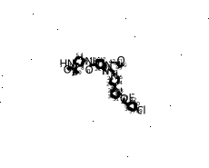 O=C(Nc1ccc2c(c1)C1(CC1)C(=O)N2)c1ccc2c(c1)nc(CN1CC=C(c3cccc(OCc4ccc(Cl)cc4F)n3)CC1)n2C[C@@H]1CCO1